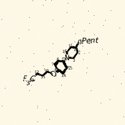 CCCCCC1CCN(c2ccc(OCCCC(F)(F)F)cc2)CC1